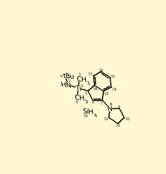 CC(C)(C)[NH][Ti]([CH3])([CH3])[CH]1C=C(N2CCCC2)c2ccccc21.[SiH4]